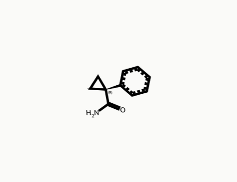 NC(=O)[C@]1(c2ccccc2)[CH]C1